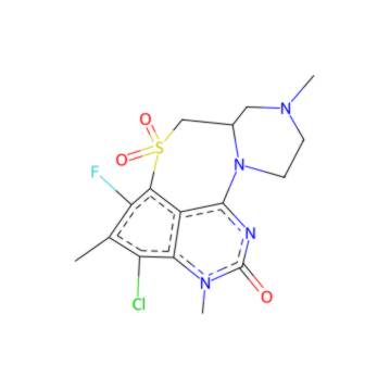 Cc1c(F)c2c3c(nc(=O)n(C)c3c1Cl)N1CCN(C)CC1CS2(=O)=O